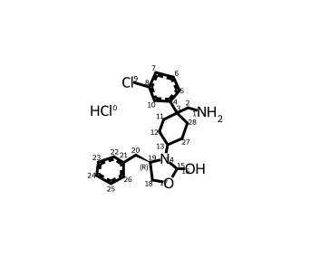 Cl.NCC1(c2cccc(Cl)c2)CCC(N2C(O)OC[C@H]2Cc2ccccc2)CC1